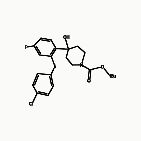 CC(C)(C)OC(=O)N1CCC(O)(c2ccc(F)cc2Sc2ccc(Cl)cc2)CC1